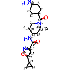 C[C@@H]1CN(C(=O)C2CCC(N)CC2)[C@H](C)C[C@@H]1NC(=O)c1cc(C2CC2)on1